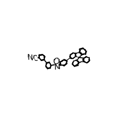 N#Cc1cccc(-c2cccc(-c3nc4ccc(-c5ccc6c(c5)C5(c7ccccc7-c7ccccc75)c5ccccc5-6)cc4o3)c2)c1